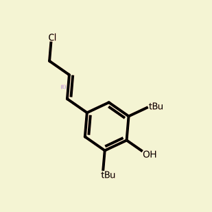 CC(C)(C)c1cc(/C=C/CCl)cc(C(C)(C)C)c1O